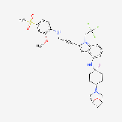 COc1cc(S(C)(=O)=O)ccc1NCC#Cc1cc2c(N[C@]3(I)CC[C@H](N4CC5CC(C4)O5)CC3)cccc2n1CC(F)(F)F